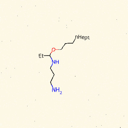 CCCCCCCCCCOC(CC)NCCCN